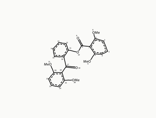 COc1cccc(OC)c1C(=O)Oc1ccccc1C(=O)c1c(OC)cccc1OC